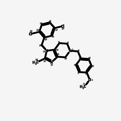 COc1ccc(CN2CCc3c(nc(C)n3Cc3cc(Cl)ccc3Cl)C2)cc1